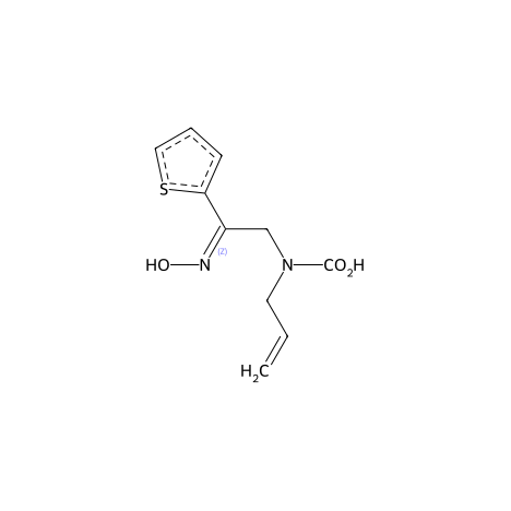 C=CCN(C/C(=N/O)c1cccs1)C(=O)O